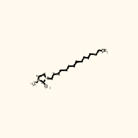 CCCCCCCCCCCCCCCN1CCN(C)C1C